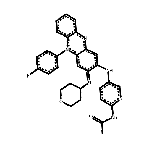 CC(=O)Nc1ccc(Nc2cc3nc4ccccc4n(-c4ccc(F)cc4)c-3cc2=NC2CCOCC2)cn1